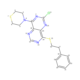 Clc1nc(N2CCSCC2)c2ncnc(SCCc3ccccc3)c2n1